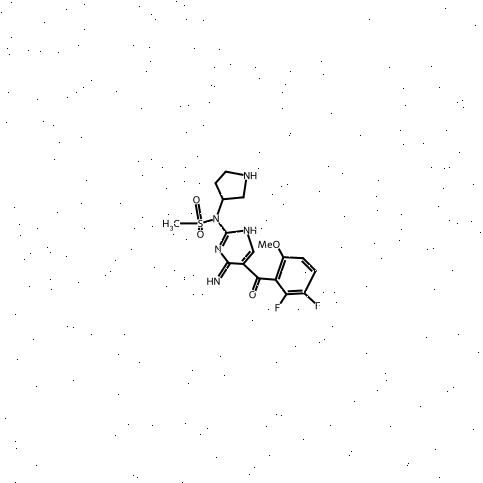 COc1ccc(F)c(F)c1C(=O)c1c[nH]c(N(C2CCNC2)S(C)(=O)=O)nc1=N